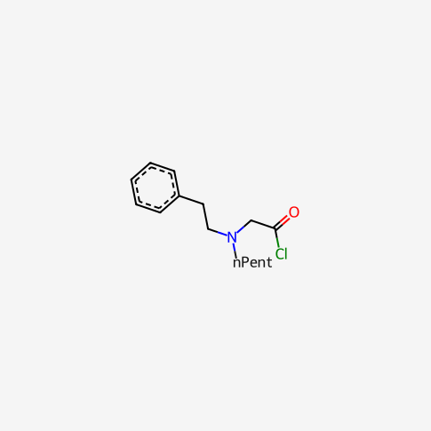 CCCCCN(CCc1ccccc1)CC(=O)Cl